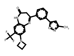 Cc1cc(-c2cccc(C3=Nc4cc(N5CCC5)c(C(F)(F)F)cc4NC(=O)C3)c2)on1